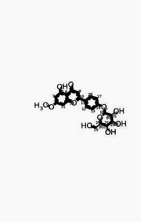 COc1cc(O)c2c(=O)cc(-c3ccc(OC4O[C@H](CO)[C@@H](O)[C@H](O)[C@H]4O)cc3)oc2c1